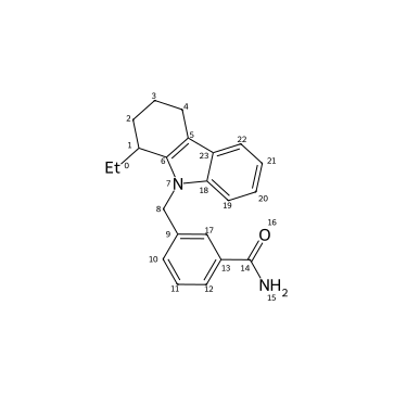 CCC1CCCc2c1n(Cc1cccc(C(N)=O)c1)c1ccccc21